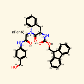 CCCCC[C@H](NC(=O)[C@@H](Cc1ccccc1)NC(=O)OCC1c2ccccc2-c2ccccc21)C(=O)Nc1ccc(CO)cc1